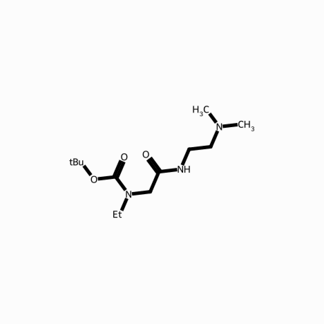 CCN(CC(=O)NCCN(C)C)C(=O)OC(C)(C)C